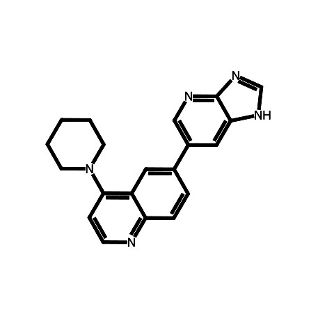 c1cc(N2CCCCC2)c2cc(-c3cnc4nc[nH]c4c3)ccc2n1